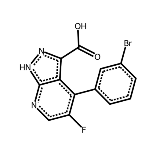 O=C(O)c1n[nH]c2ncc(F)c(-c3cccc(Br)c3)c12